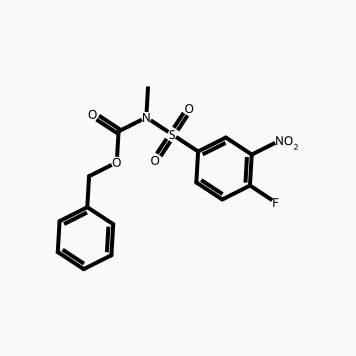 CN(C(=O)OCc1ccccc1)S(=O)(=O)c1ccc(F)c([N+](=O)[O-])c1